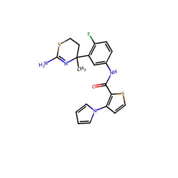 CC1(c2cc(NC(=O)c3sccc3-n3cccc3)ccc2F)CCSC(N)=N1